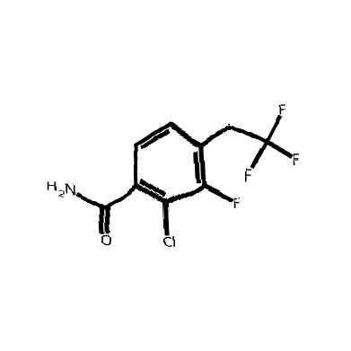 NC(=O)c1ccc([CH]C(F)(F)F)c(F)c1Cl